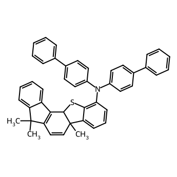 CC1(C)C2=C(c3ccccc31)C1Sc3c(N(c4ccc(-c5ccccc5)cc4)c4ccc(-c5ccccc5)cc4)cccc3C1(C)C=C2